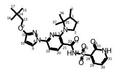 CC1CCN(c2nc(-n3ccc(OCC(C)(C)C)n3)ccc2C(=O)NS(=O)(=O)c2ccc[nH]c2=O)C1(C)C